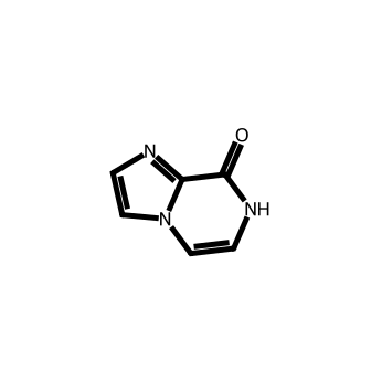 O=c1[nH]ccn2ccnc12